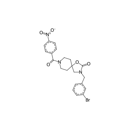 O=C1OC2(CCN(C(=O)c3ccc([N+](=O)[O-])cc3)CC2)CN1Cc1cccc(Br)c1